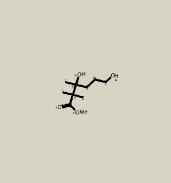 COC(=O)C(C)(C)C(C)(O)CCCO